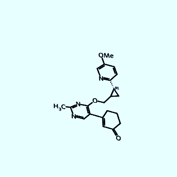 COc1ccc([C@@H]2CC2COc2nc(C)ncc2C2=CC(=O)CCC2)nc1